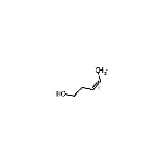 [CH2]/C=C\CCO